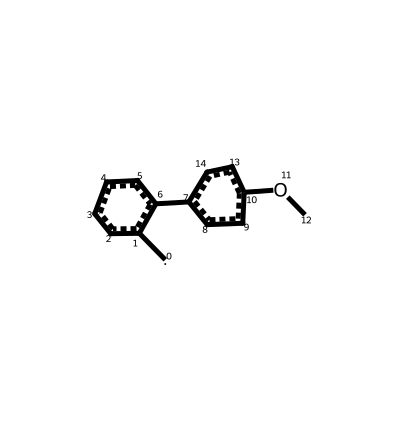 [CH2]c1ccccc1-c1ccc(OC)cc1